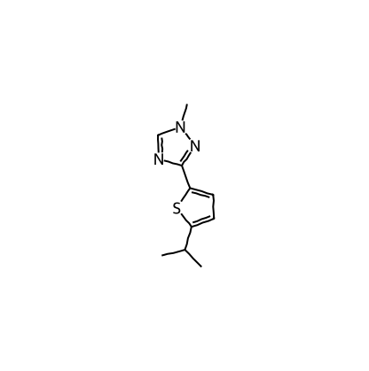 CC(C)c1ccc(-c2ncn(C)n2)s1